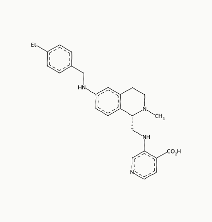 CCc1ccc(CNc2ccc3c(c2)CCN(C)[C@@H]3CNc2cnccc2C(=O)O)cc1